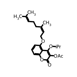 CC(=O)Oc1c(OC(C)C)c2c(OCC=C(C)CCC=C(C)C)cccc2oc1=O